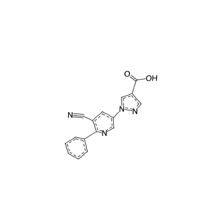 N#Cc1cc(-n2cc(C(=O)O)cn2)cnc1-c1ccccc1